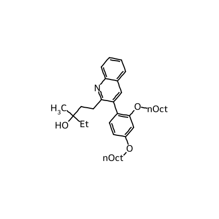 CCCCCCCCOc1ccc(-c2cc3ccccc3nc2CCC(C)(O)CC)c(OCCCCCCCC)c1